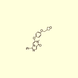 CC(C)c1ncc2c(=O)n(C)c(Oc3ccc(OCC4COC4)cc3)cn12